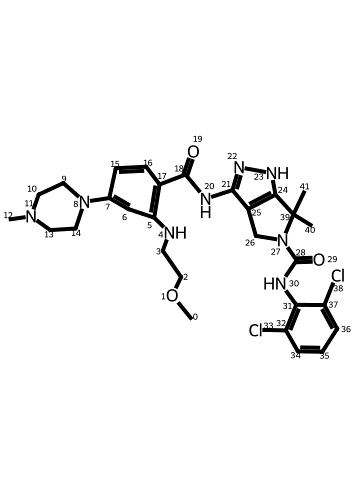 COCCNc1cc(N2CCN(C)CC2)ccc1C(=O)Nc1n[nH]c2c1CN(C(=O)Nc1c(Cl)cccc1Cl)C2(C)C